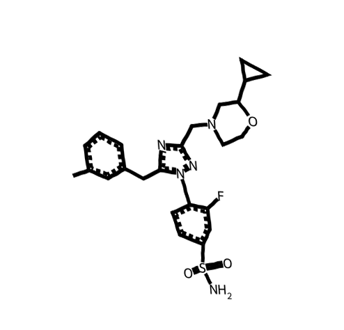 Cc1cccc(Cc2nc(CN3CCOC(C4CC4)C3)nn2-c2ccc(S(N)(=O)=O)cc2F)c1